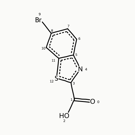 O=C(O)c1nc2ccc(Br)cc2s1